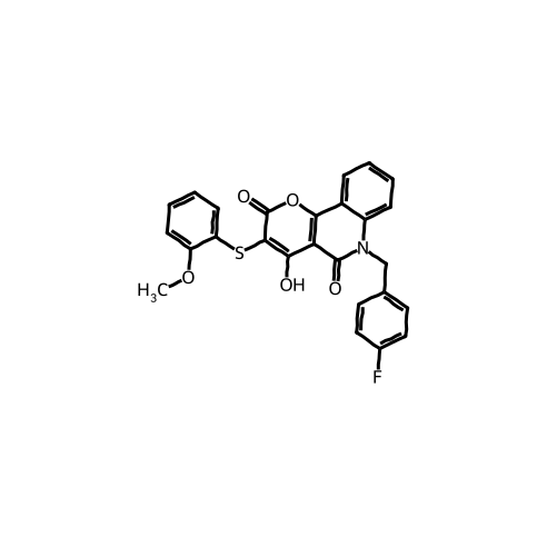 COc1ccccc1Sc1c(O)c2c(=O)n(Cc3ccc(F)cc3)c3ccccc3c2oc1=O